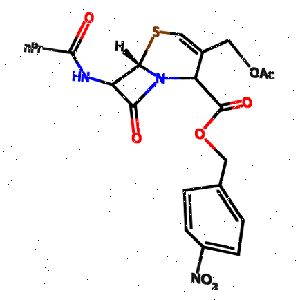 CCCC(=O)NC1C(=O)N2C(C(=O)OCc3ccc([N+](=O)[O-])cc3)C(COC(C)=O)=CS[C@@H]12